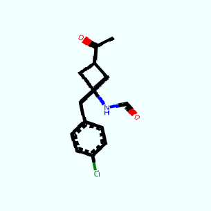 CC(=O)C1CC(Cc2ccc(Cl)cc2)(NC=O)C1